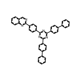 c1ccc(-c2ccc(-c3nc(-c4ccc(-c5ccccc5)cc4)nc(-c4ccc(-c5ncc6ccccc6n5)cc4)n3)cc2)cc1